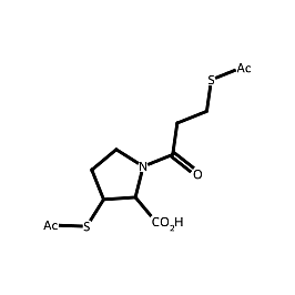 CC(=O)SCCC(=O)N1CCC(SC(C)=O)C1C(=O)O